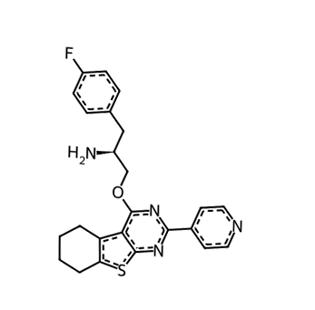 N[C@H](COc1nc(-c2ccncc2)nc2sc3c(c12)CCCC3)Cc1ccc(F)cc1